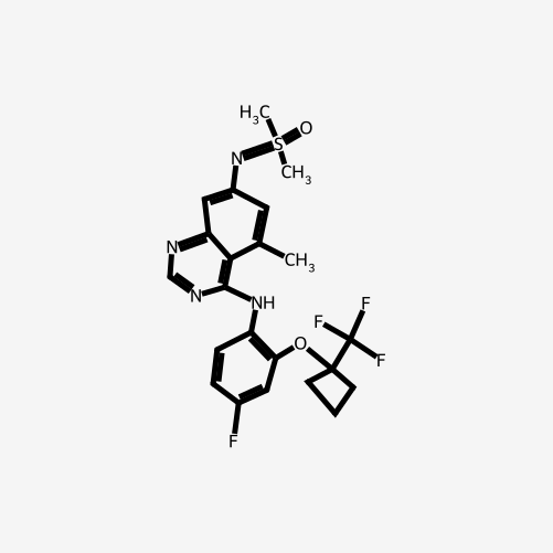 Cc1cc(N=S(C)(C)=O)cc2ncnc(Nc3ccc(F)cc3OC3(C(F)(F)F)CCC3)c12